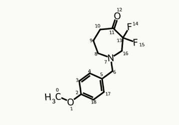 COc1ccc(CN2CCCC(=O)C(F)(F)C2)cc1